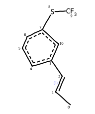 C/C=C/c1cccc(SC(F)(F)F)c1